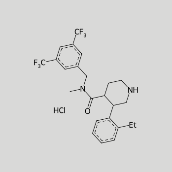 CCc1ccccc1C1CNCCC1C(=O)N(C)Cc1cc(C(F)(F)F)cc(C(F)(F)F)c1.Cl